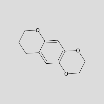 c1c2c(cc3c1OCCO3)OCCC2